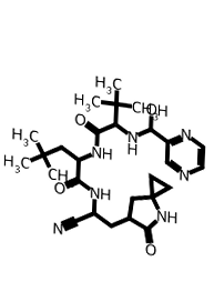 CC(C)(C)CC(NC(=O)C(NC(O)c1cnccn1)C(C)(C)C)C(=O)NC(C#N)CC1CC2(CC2)NC1=O